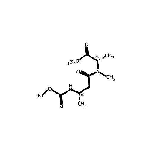 CC(C)COC(=O)[C@H](C)N(C)C(=O)C[C@H](C)NC(=O)OC(C)(C)C